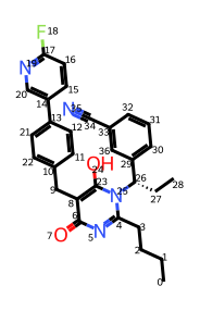 CCCCc1nc(=O)c(Cc2ccc(-c3ccc(F)nc3)cc2)c(O)n1[C@@H](CC)c1cccc(C#N)c1